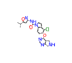 CC(C)c1cc(NC(=O)n2ccc3c(Cl)c(Oc4ncnc5c4CNC5)ccc32)no1